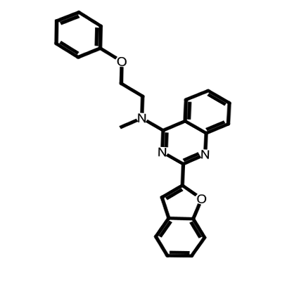 CN(CCOc1ccccc1)c1nc(-c2cc3ccccc3o2)nc2ccccc12